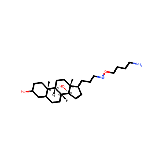 C[C@]12CCC(O)CC1CC[C@@H]1[C@H]2CC[C@]2(C)C(CCCNOCCCCN)CC[C@@]12O